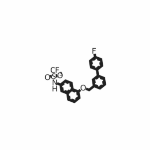 O=S(=O)(Nc1ccc2c(OCc3cccc(-c4ccc(F)cc4)c3)cccc2c1)C(F)(F)F